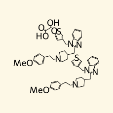 COc1ccc(CCN2CCC(Cc3nc4ccccc4n3Cc3ccsc3)CC2)cc1.COc1ccc(CCN2CCC(Cc3nc4ccccc4n3Cc3ccsc3)CC2)cc1.O=C(O)C(=O)O